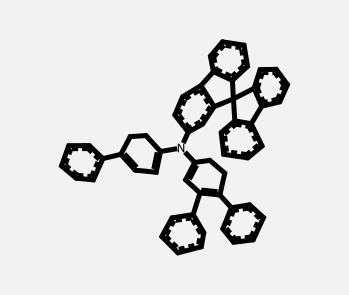 C1=C(c2ccccc2)CCC(N(C2=CC(c3ccccc3)=C(c3ccccc3)CC2)c2ccc3c(c2)C2(c4ccccc4-c4ccccc42)c2ccccc2-3)=C1